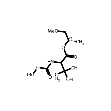 COC[C@H](C)OC(=O)C(NC(=O)OC(C)(C)C)C(C)(C)O